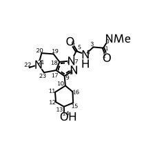 CNC(=O)CNC(=O)n1nc(C2CCC(O)CC2)c2c1CCN(C)C2